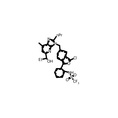 CCCc1nc2c(C)cc(C(O)CC)nc2n1Cc1ccc2c(-c3ccccc3NS(=O)(=O)C(F)(F)F)oc(Cl)c2c1